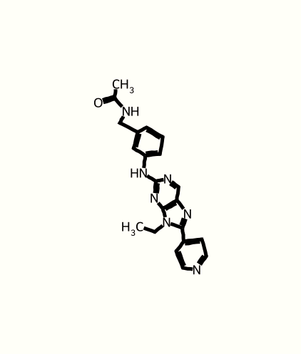 CCn1c(-c2ccncc2)nc2cnc(Nc3cccc(CNC(C)=O)c3)nc21